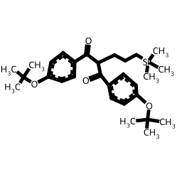 CC(C)(C)Oc1ccc(C(=O)C(CCC[Si](C)(C)C)C(=O)c2ccc(OC(C)(C)C)cc2)cc1